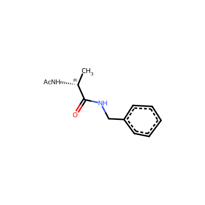 CC(=O)N[C@H](C)C(=O)NCc1ccccc1